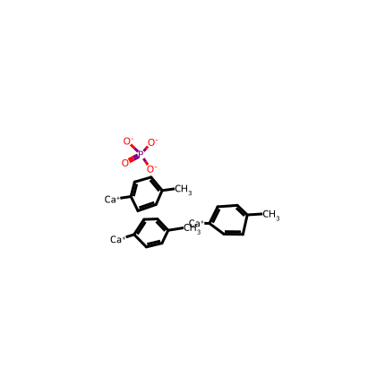 Cc1cc[c]([Ca+])cc1.Cc1cc[c]([Ca+])cc1.Cc1cc[c]([Ca+])cc1.O=P([O-])([O-])[O-]